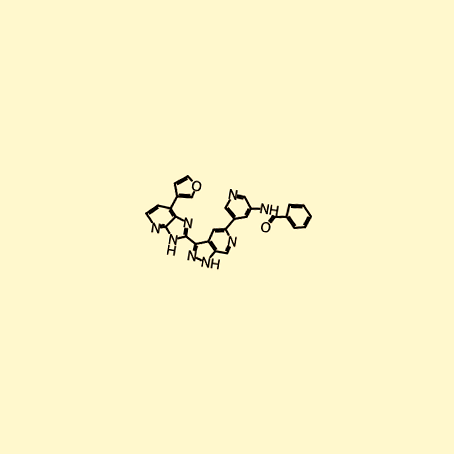 O=C(Nc1cncc(-c2cc3c(-c4nc5c(-c6ccoc6)ccnc5[nH]4)n[nH]c3cn2)c1)c1ccccc1